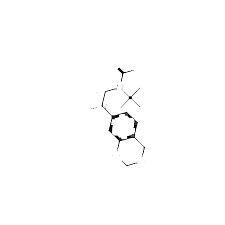 C[C@@H]([C@H](O)c1ccc2c(c1)OCOC2)N(C(=O)O)C(C)(C)C